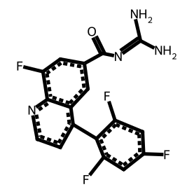 NC(N)=NC(=O)c1cc(F)c2nccc(-c3c(F)cc(F)cc3F)c2c1